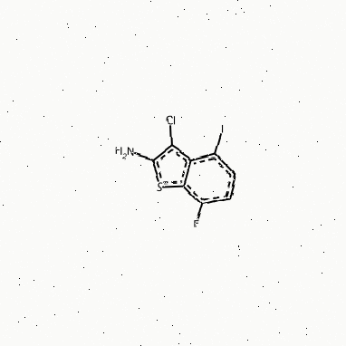 Nc1sc2c(F)ccc(I)c2c1Cl